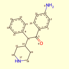 Nc1ccc(C(=O)C(c2ccccc2)C2CCNCC2)cc1